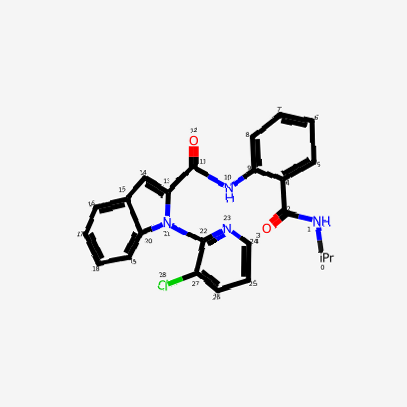 CC(C)NC(=O)c1ccccc1NC(=O)c1cc2ccccc2n1-c1ncccc1Cl